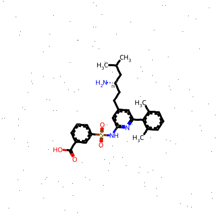 Cc1cccc(C)c1-c1cc(CC[C@H](N)CC(C)C)cc(NS(=O)(=O)c2cccc(C(=O)O)c2)n1